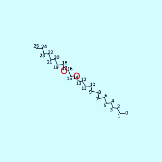 CCCCCCCCCCCCCCOCCOCCCCCCCC